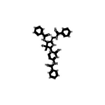 CC1(F)C(n2ccc(NC(=O)c3ccccc3)nc2=O)O[C@H](COC(=O)c2ccccc2)[C@@H]1OC(=O)c1ccccc1